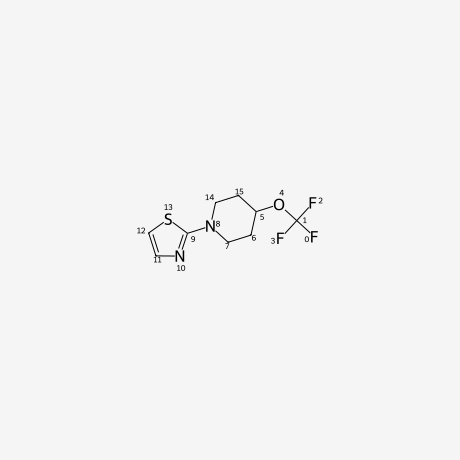 FC(F)(F)OC1CCN(c2nccs2)CC1